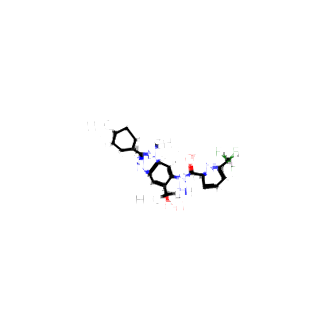 CC1CCC(c2nc3cc(C(C)(C)O)c(NC(=O)c4cccc(C(F)(F)F)n4)cc3n2C)CC1